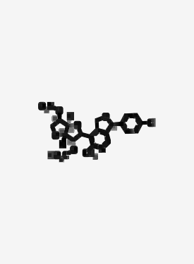 Cc1ncc2c(c1C1O[C@H]3[C@@H](OC[C@H]3O[N+](=O)[O-])[C@H]1OC(=O)O)CO[C@H]2c1ccc(Cl)cc1